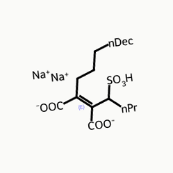 CCCCCCCCCCCCC/C(C(=O)[O-])=C(/C(=O)[O-])C(CCC)S(=O)(=O)O.[Na+].[Na+]